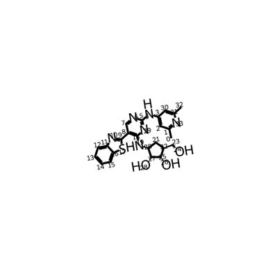 Cc1cc(Nc2ncc(-c3nc4ccccc4s3)c(N[C@H]3C[C@@H](CO)[C@H](O)[C@@H]3O)n2)cc(C)n1